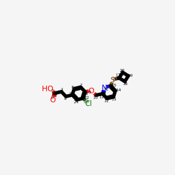 O=C(O)CCc1ccc(OCc2cccc(SC3CCC3)n2)c(Cl)c1